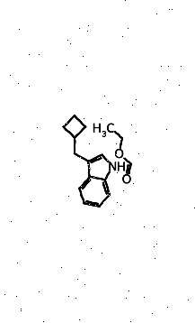 CCOC=O.c1ccc2c(CC3CCC3)c[nH]c2c1